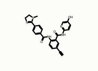 C#Cc1ccc(NC(=O)c2ccc(C3=NCCN3C)cc2)c(C(=O)Nc2ccc(O)cn2)c1